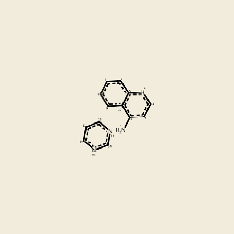 Nc1ccnc2ccccc12.c1cncnc1